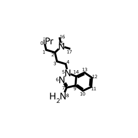 CC(C)CC(CCn1nc(N)c2ccccc21)N(C)C